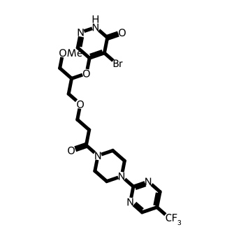 COCC(COCCC(=O)N1CCN(c2ncc(C(F)(F)F)cn2)CC1)Oc1cn[nH]c(=O)c1Br